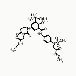 CCNC(=O)CN1C(=O)CCN(c2cc(C(=O)Nc3ccc(N(CC(=O)NCC)S(C)(=O)=O)cc3)c(OC)c(C(C)(C)C)c2)C1=O